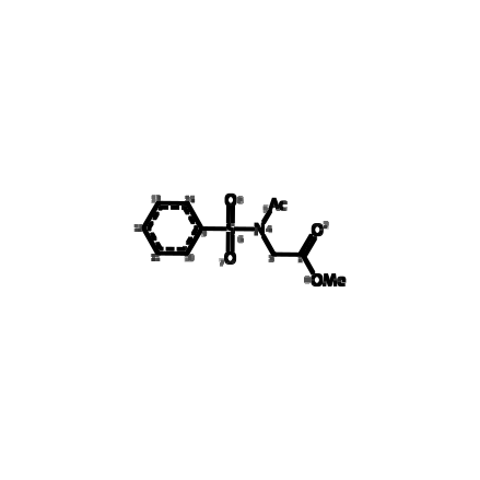 COC(=O)CN(C(C)=O)S(=O)(=O)c1ccccc1